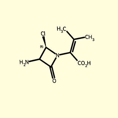 CC(C)=C(C(=O)O)N1C(=O)C(N)[C@H]1Cl